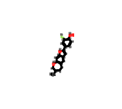 CC1=CCc2cc3cc(-c4ccc(O)c(F)c4)oc3cc2OC1